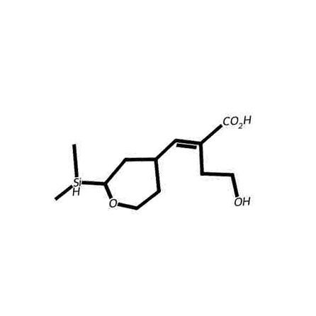 C[SiH](C)C1CC(C=C(CCO)C(=O)O)CCO1